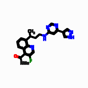 CNC(=O)c1c(F)cnc2c(C(C)CCNc3cc(-c4cn[nH]c4)ncn3)cccc12